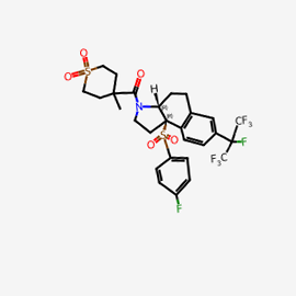 CC1(C(=O)N2CC[C@@]3(S(=O)(=O)c4ccc(F)cc4)c4ccc(C(F)(C(F)(F)F)C(F)(F)F)cc4CC[C@@H]23)CCS(=O)(=O)CC1